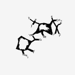 CC(F)(c1cc(Br)c(NC(=O)c2cccc(N)c2F)c(C(F)(F)F)c1)C(F)(F)F